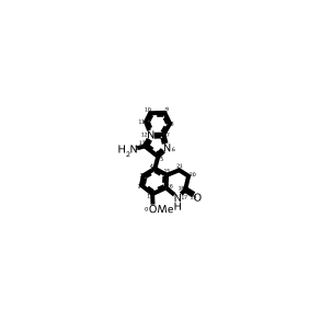 COc1ccc(-c2nc3ccccn3c2N)c2c1NC(=O)CC2